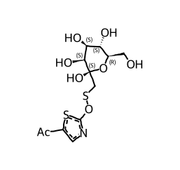 CC(=O)c1cnc(OSC[C@@]2(O)O[C@H](CO)[C@@H](O)[C@H](O)[C@@H]2O)s1